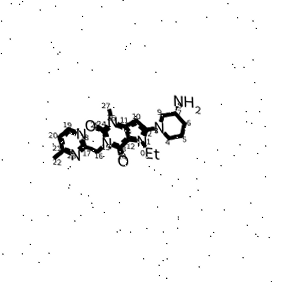 CCn1c(N2CCC[C@@H](N)C2)cc2c1c(=O)n(Cc1nccc(C)n1)c(=O)n2C